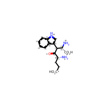 N[C@H](CCC(=O)O)C(=O)C(c1c[nH]c2ccccc12)[C@H](N)C(=O)O